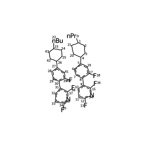 CCCC1CCC(c2ccc(-c3ccc(F)nc3F)c(F)c2)CC1.CCCCC1CCC(c2ccc(-c3ccc(F)nc3F)c(F)c2)CC1